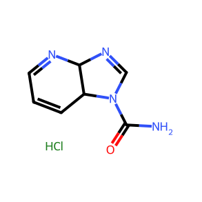 Cl.NC(=O)N1C=NC2N=CC=CC21